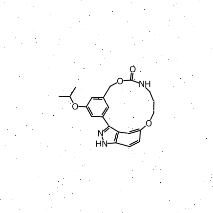 CC(C)Oc1cc2cc(c1)-c1n[nH]c3ccc(cc13)OCCCNC(=O)OC2